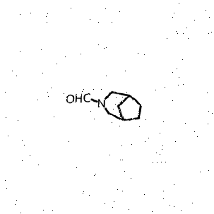 O=CN1CC2CCC(C2)C1